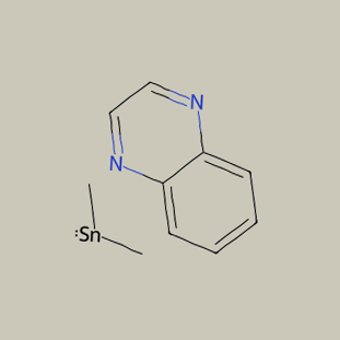 [CH3][Sn][CH3].c1ccc2nccnc2c1